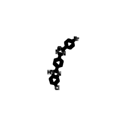 Clc1ccc2[nH]c(-c3ccc(-c4noc(-c5ccc(Br)cc5)n4)cc3)nc2c1